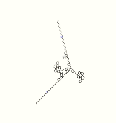 CCCCCCCC/C=C/CCCCCCCOCNCCCOCC(COCCCNCOCCCCCCC/C=C/CCCCCCCC)(COCCC(=O)ON1C(=O)CCC1=O)COCCC(=O)ON1C(=O)CCC1=O